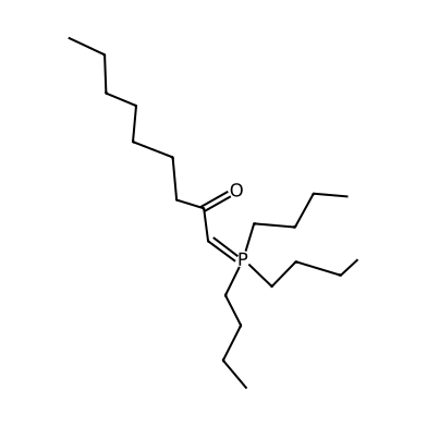 CCCCCCCC(=O)C=P(CCCC)(CCCC)CCCC